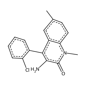 Cc1ccc2c(c1)c(-c1ccccc1Cl)c(N)c(=O)n2C